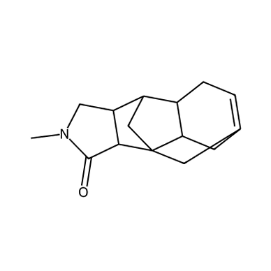 CN1CC2C3CC4(CC5=CCC3C4C5)C2C1=O